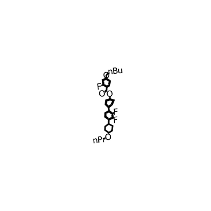 CCCCOc1ccc(C(=O)Oc2ccc(-c3ccc(C4CCC(OCCC)CC4)c(F)c3F)cc2)c(F)c1